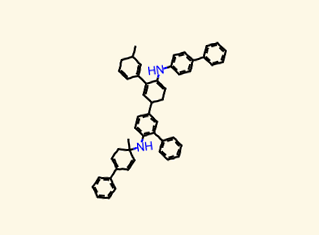 CC1C=C(C2=CC(c3ccc(NC4(C)C=CC(c5ccccc5)=CC4)c(-c4ccccc4)c3)CC=C2Nc2ccc(-c3ccccc3)cc2)C=CC1